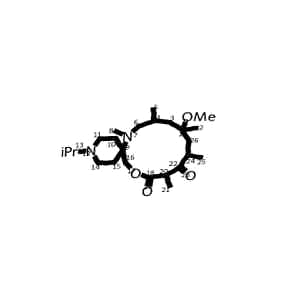 COC1(C)CC(C)CN(C)C2(CCN(C(C)C)CC2)COC(=O)C(C)C(=O)C(C)C1